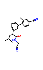 Cc1cc(C#N)ccc1-c1cccc(C(CC(C)C)C(=O)NCC#N)c1